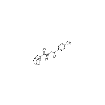 N#Cc1ccc(C(=O)CNC(=O)C23CC4CC(CC2C4)C3)cc1